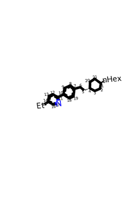 CCCCCC[C@H]1CC[C@H](CCc2ccc(-c3ccc(CC)cn3)cc2)CC1